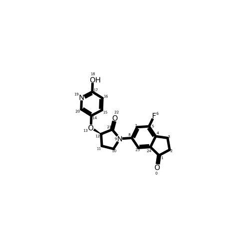 O=C1CCc2c(F)cc(N3CC[C@@H](Oc4ccc(O)nc4)C3=O)cc21